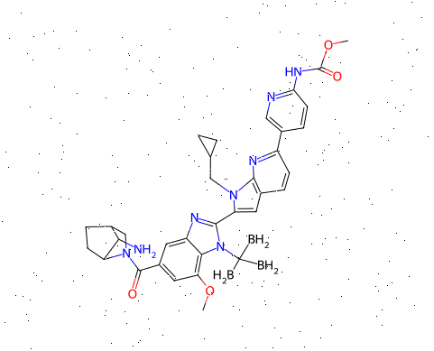 BC(B)(B)n1c(-c2cc3ccc(-c4ccc(NC(=O)OC)nc4)nc3n2CC2CC2)nc2cc(C(=O)N3CC4CCC3C4N)cc(OC)c21